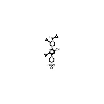 CCS(=O)(=O)N1CCN(c2cc(C#N)c(N3CCN(C(=O)C4CC4)C(C4CC4)C3)nc2C2CC2)CC1